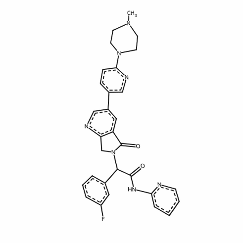 CN1CCN(c2ccc(-c3cnc4c(c3)C(=O)N(C(C(=O)Nc3ccccn3)c3cccc(F)c3)C4)cn2)CC1